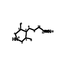 CC1CNCC(C)C1CCCC#N